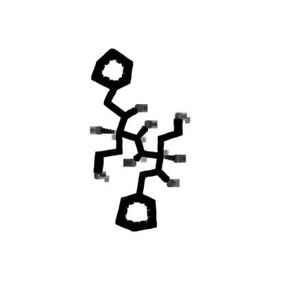 C=CC[C@@](O)(C(O)Cc1ccccc1)[C@@H](O)[C@H](O)[C@@](O)(CC=C)C(O)Cc1ccccc1